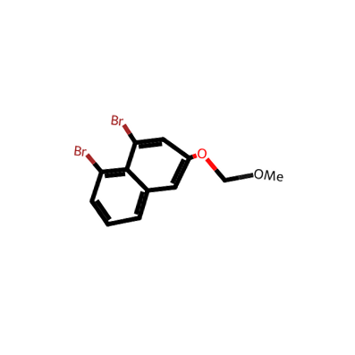 COCOc1cc(Br)c2c(Br)cccc2c1